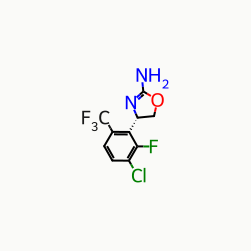 NC1=N[C@@H](c2c(C(F)(F)F)ccc(Cl)c2F)CO1